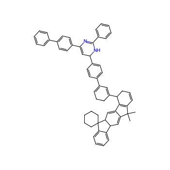 CC1(C)C2=CC3c4ccccc4C4(CCCCC4)C3C=C2C2=C1C=CCC2C1=CC(c2ccc(C3C=C(c4ccc(-c5ccccc5)cc4)N=C(c4ccccc4)N3)cc2)=CCC1